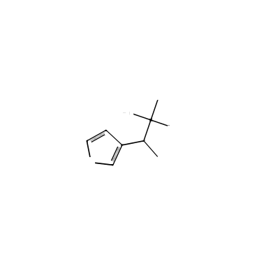 CCC(C)(CC)C(C)c1ccsc1